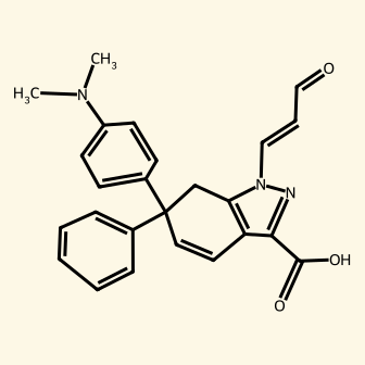 CN(C)c1ccc(C2(c3ccccc3)C=Cc3c(C(=O)O)nn(C=CC=O)c3C2)cc1